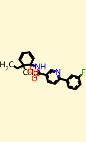 CC[C@]1(C)C=CC=C[C@@]1(O)NC(=O)c1ccc(-c2cccc(F)c2)nc1